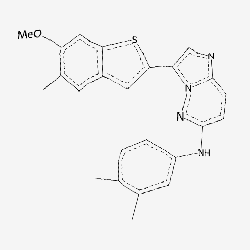 COc1cc2sc(-c3cnc4ccc(Nc5ccc(C)c(C)c5)nn34)cc2cc1C